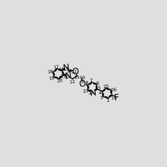 Fc1ccc(-c2ccc(OC[C@@H]3Cn4c(nc5ccccc54)O3)cn2)cc1